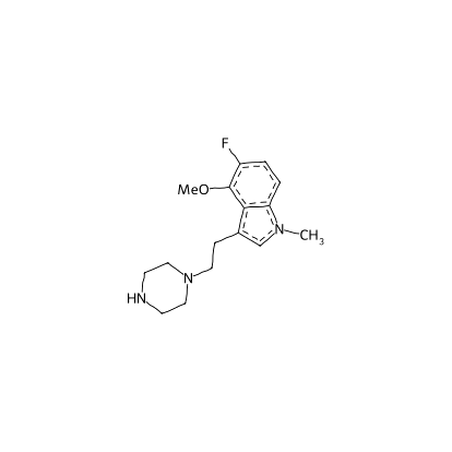 COc1c(F)ccc2c1c(CCN1CCNCC1)cn2C